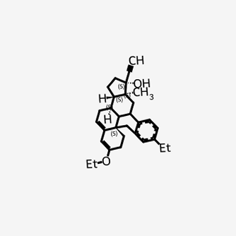 C#C[C@]1(O)CC[C@H]2[C@@H]3CC=C4C=C(OCC)CC[C@@]45Cc4cc(CC)ccc4C(C[C@@]21C)C35